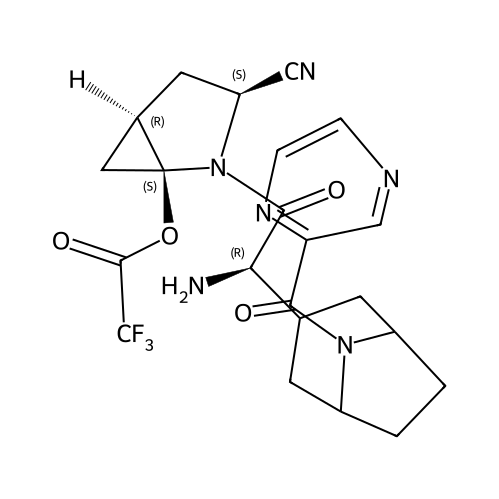 N#C[C@@H]1C[C@@H]2C[C@@]2(OC(=O)C(F)(F)F)N1C(=O)[C@H](N)C1CC2CCC(C1)N2C(=O)c1cnccn1